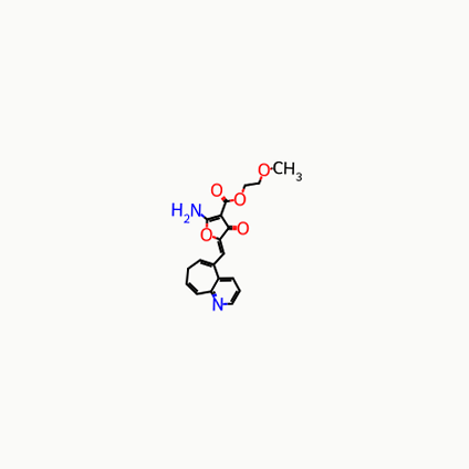 COCCOC(=O)C1=C(N)O/C(=C\C2=CCC=Cc3ncccc32)C1=O